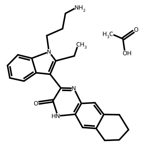 CC(=O)O.CCc1c(-c2nc3cc4c(cc3[nH]c2=O)CCCC4)c2ccccc2n1CCCN